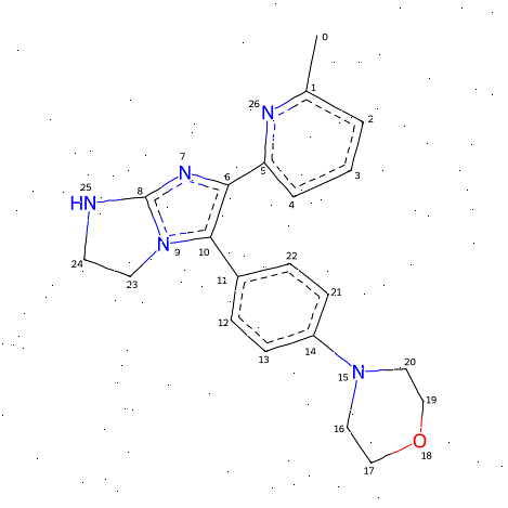 Cc1cccc(-c2nc3n(c2-c2ccc(N4CCOCC4)cc2)CCN3)n1